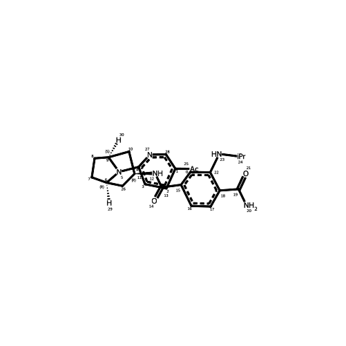 CC(=O)c1ccc(N2[C@@H]3CC[C@H]2C[C@@H](NC(=O)c2ccc(C(N)=O)c(NC(C)C)c2)C3)nc1